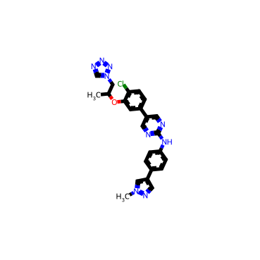 CC(Cn1cnnn1)Oc1cc(-c2cnc(Nc3ccc(-c4cnn(C)c4)cc3)nc2)ccc1Cl